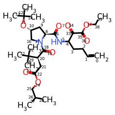 C=CCCC(NC(=O)[C@@H]1C[C@@H](OC(C)(C)C)CN1C(=O)[C@@H](CC(=O)OCC(C)C)C(C)(C)C)C(=O)C(=O)OCC